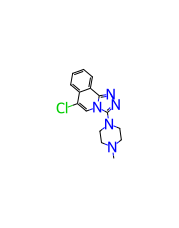 CN1CCN(c2nnc3c4ccccc4c(Cl)cn23)CC1